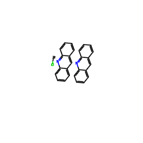 [Cl][Zr].c1ccc2nc3ccccc3cc2c1.c1ccc2nc3ccccc3cc2c1